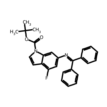 CC(C)(C)OC(=O)n1ccc2c(F)cc(N=C(c3ccccc3)c3ccccc3)cc21